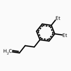 C=CCCc1ccc(CC)c(CC)c1